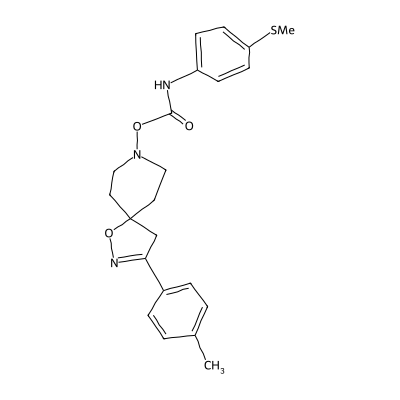 CSc1ccc(NC(=O)ON2CCC3(CC2)CC(c2ccc(C)cc2)=NO3)cc1